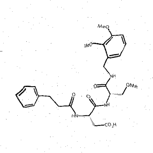 COC[C@H](NC(=O)[C@H](CC(=O)O)NC(=O)CCc1ccccc1)C(=O)NCc1cccc(OC)c1OC